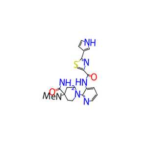 CNC1(C(N)=O)CCN(c2ncccc2NC(=O)c2csc(-c3cc[nH]c3)n2)CC1